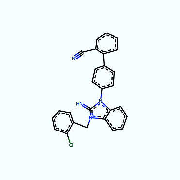 N#Cc1ccccc1-c1ccc(-n2c(=N)n(Cc3ccccc3Cl)c3ccccc32)cc1